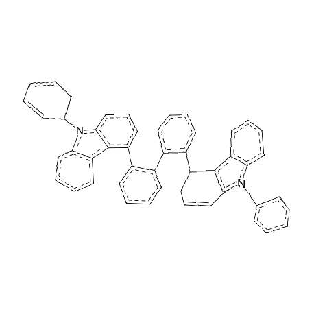 C1=CCC(n2c3ccccc3c3c(-c4ccccc4-c4ccccc4C4CC=Cc5c4c4ccccc4n5-c4ccccc4)cccc32)C=C1